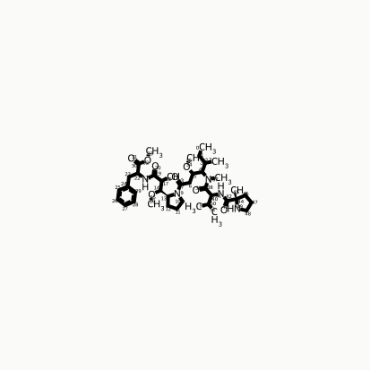 CCC(C)C(C(CC(=O)N1CCC[C@H]1C(OC)C(C)C(=O)NC(Cc1ccccc1)C(=O)OC)OC)N(C)C(=O)C(NC(=O)[C@]1(C)CCCN1)C(C)C